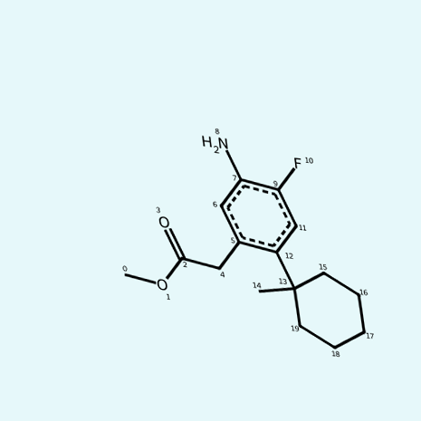 COC(=O)Cc1cc(N)c(F)cc1C1(C)CCCCC1